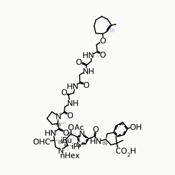 CCCCCCN(CC(C=O)(NC(=O)[C@@]1(C)CCCN1C(=O)CNC(=O)CNC(=O)CNC(=O)CNC(=O)COC1/C=C(/C)CCCCC1)[C@@H](C)CC)[C@H](C[C@@H](OC(C)=O)c1nc(C(=O)N[C@@H](Cc2ccc(O)cc2)CC(C)(C)C(=O)O)cs1)C(C)C